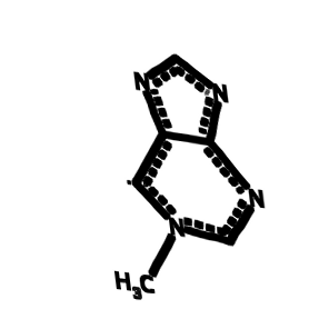 Cn1[c]c2ncnc-2nc1